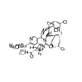 CCOc1cc(C(C)(C)C)ncc1C1=N[C@@](C)(c2ccc(Cl)cc2)[C@@](C)(c2ccc(Cl)cc2)N1C(=O)N1C[C@@H]2C(C(=O)N3CC[C@H](OC)C3)[C@@H]2C1